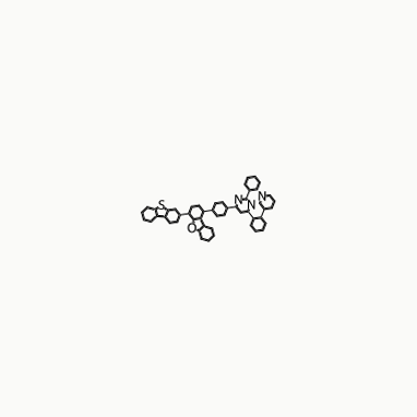 c1ccc(-c2nc(-c3ccc(-c4ccc(-c5ccc6c(c5)sc5ccccc56)c5oc6ccccc6c45)cc3)cc(-c3ccccc3-c3cccnc3)n2)cc1